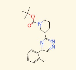 Cc1ccccc1-c1cnnc(C2CCCN(C(=O)OC(C)(C)C)C2)n1